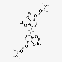 C=C(C)C(=O)OSOc1ccc(C(C)(C)c2ccc(OSOC(=O)C(=C)C)c(OCC)c2OCC)c(OCC)c1OCC